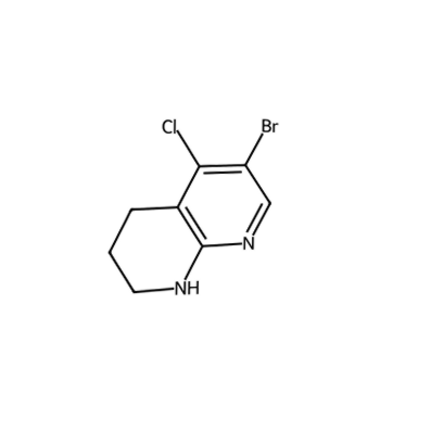 Clc1c(Br)cnc2c1CCCN2